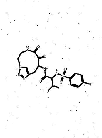 CC(C)C(NS(=O)(=O)c1ccc(F)cc1)C(=O)NC1Cc2cn(nn2)CCNC(=O)C1=O